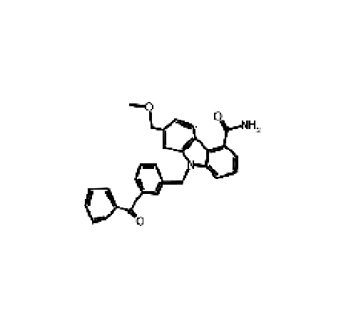 COCc1c[c]c2c3c(C(N)=O)cccc3n(Cc3cccc(C(=O)c4ccccc4)c3)c2c1